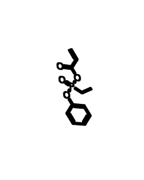 C=CC(=O)OP(=O)(CC)Oc1ccccc1